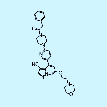 N#Cc1cnn2cc(OCCN3CCOCC3)cc(-c3ccc(N4CCN(C(=O)Cc5ccccc5)CC4)nc3)c12